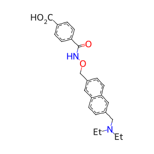 CCN(CC)Cc1ccc2cc(CONC(=O)c3ccc(C(=O)O)cc3)ccc2c1